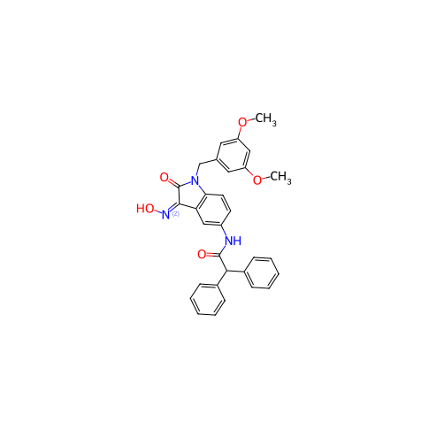 COc1cc(CN2C(=O)/C(=N\O)c3cc(NC(=O)C(c4ccccc4)c4ccccc4)ccc32)cc(OC)c1